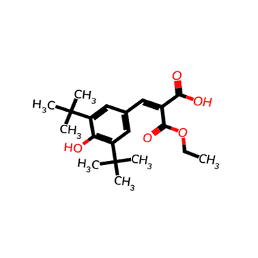 CCOC(=O)C(=Cc1cc(C(C)(C)C)c(O)c(C(C)(C)C)c1)C(=O)O